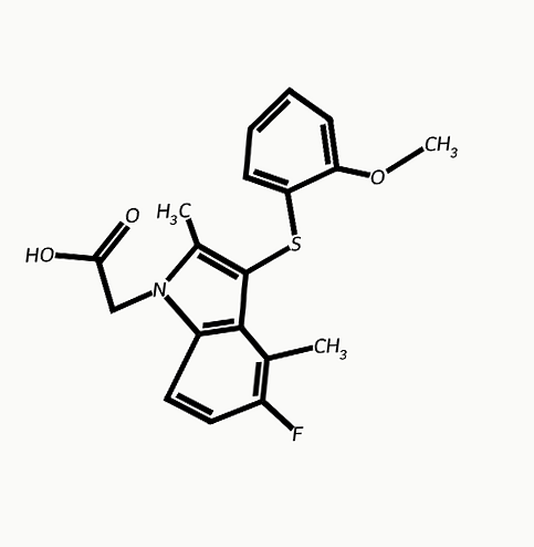 COc1ccccc1Sc1c(C)n(CC(=O)O)c2ccc(F)c(C)c12